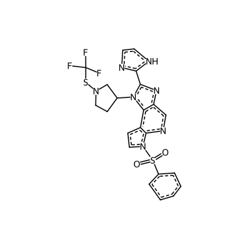 O=S(=O)(c1ccccc1)n1ccc2c1ncc1nc(-c3ncc[nH]3)n(C3CCN(SC(F)(F)F)C3)c12